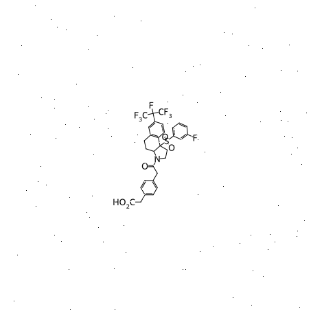 O=C(O)Cc1ccc(CC(=O)N2CCC3(S(=O)(=O)c4cccc(F)c4)c4ccc(C(F)(C(F)(F)F)C(F)(F)F)cc4CCC23)cc1